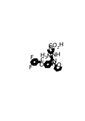 CC(Oc1ccc2c(c1)c(-c1nc3c([nH]1)CN(C(=O)O)C3)nn2C1CCCCO1)c1cc(F)cc(F)c1